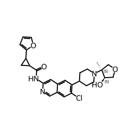 C[C@]1(N2CCC(c3cc4cc(NC(=O)C5CC5c5ccco5)ncc4cc3Cl)CC2)COC[C@H]1O